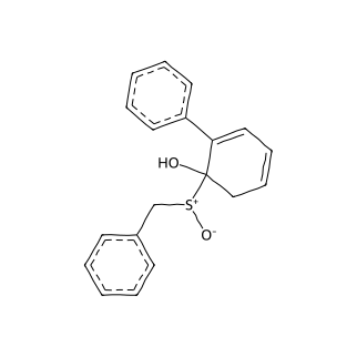 [O-][S+](Cc1ccccc1)C1(O)CC=CC=C1c1ccccc1